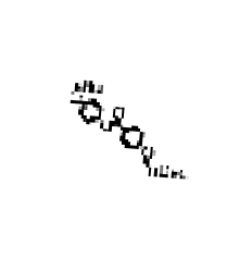 CCCCCCCCCCCOc1ccc(C(=O)Oc2ccc(OCCCC)cc2)cc1